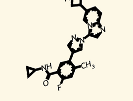 Cc1cc(F)c(C(=O)NC2CC2)cc1-c1cnn(-c2cnc3ccc(C4CNC4)cn23)c1